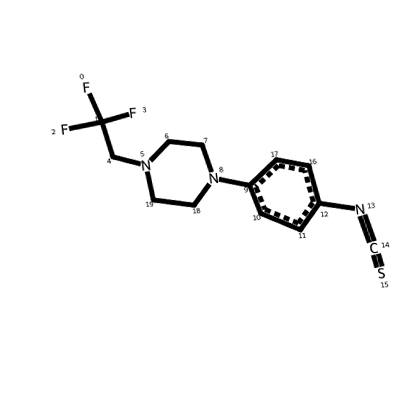 FC(F)(F)CN1CCN(c2ccc(N=C=S)cc2)CC1